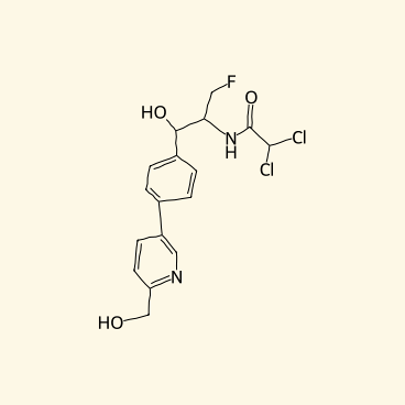 O=C(NC(CF)C(O)c1ccc(-c2ccc(CO)nc2)cc1)C(Cl)Cl